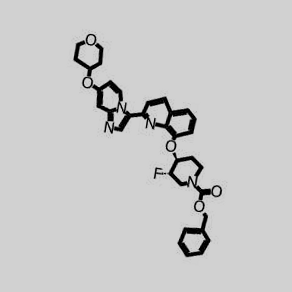 O=C(OCc1ccccc1)N1CC[C@H](Oc2cccc3ccc(-c4cnc5cc(OC6CCOCC6)ccn45)nc23)[C@@H](F)C1